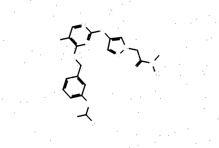 CC(C)N(C)C(=O)Cn1cc(Nc2ncc(F)c(NCc3cccc(OC(F)F)c3)n2)cn1